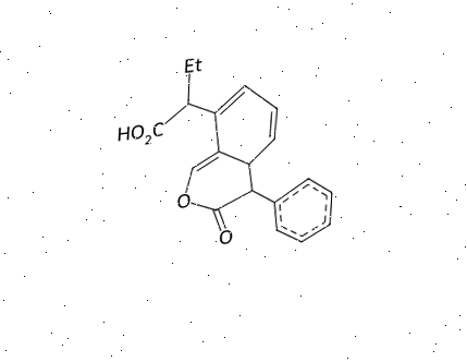 CCC(C(=O)O)C1=CC=CC2C1=COC(=O)C2c1ccccc1